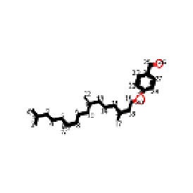 CC(C)CCC[C@@H](C)CCC[C@@H](C)CCCC(C)CCOc1ccc(C=O)cc1